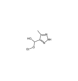 CCOC(O)c1n[nH]nc1C